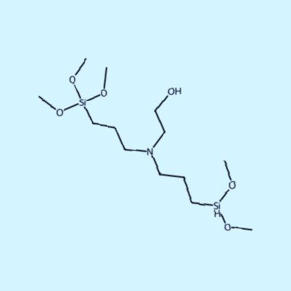 CO[SiH](CCCN(CCO)CCC[Si](OC)(OC)OC)OC